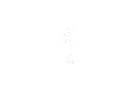 CC(C)(C)OOCCC(C)(C)OC(=O)C(=O)OO